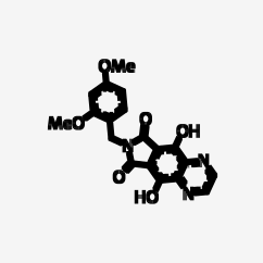 COc1ccc(CN2C(=O)c3c(c(O)c4nccnc4c3O)C2=O)c(OC)c1